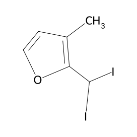 Cc1ccoc1C(I)I